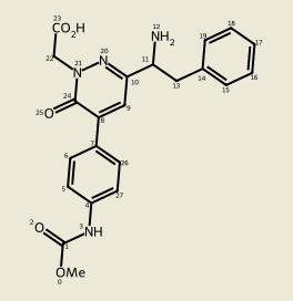 COC(=O)Nc1ccc(-c2cc(C(N)Cc3ccccc3)nn(CC(=O)O)c2=O)cc1